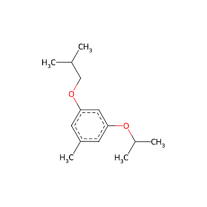 Cc1cc(OCC(C)C)cc(OC(C)C)c1